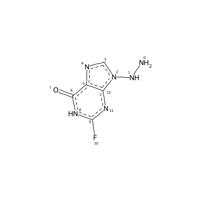 NNn1cnc2c(=O)[nH]c(F)nc21